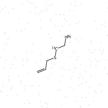 C=C[CH]S[13CH2]CCCC